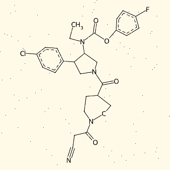 CCN(C(=O)Oc1ccc(F)cc1)C1CN(C(=O)C2CCN(C(=O)CC#N)CC2)CC1c1ccc(Cl)cc1